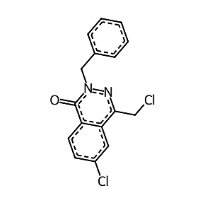 O=c1c2ccc(Cl)cc2c(CCl)nn1Cc1ccccc1